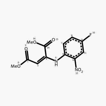 COC(=O)/C=C(/Nc1ccc(F)cc1[N+](=O)[O-])C(=O)OC